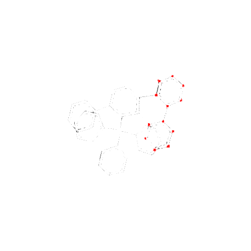 c1ccc(-c2ccccc2-c2ccc(-c3ccccc3)c([Si](c3ccccc3)(c3ccccc3)c3ccccc3)c2-c2ccccc2-c2ccccc2)cc1